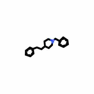 c1ccc(CCC2CCN(Cc3ccccc3)CC2)cc1